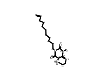 C=CCCCCCCCCCN1C(=O)C2NCCN=C2N(C)C1=O